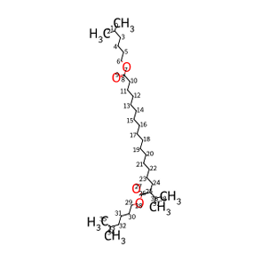 CC(C)CCCCOC(=O)CCCCCCCCCCCCCCCC(C(=O)OCCCCC(C)C)C(C)C